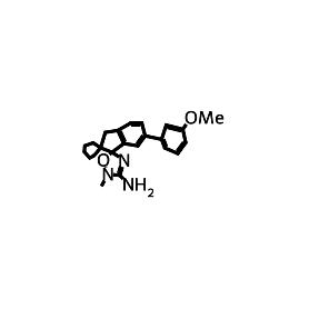 COc1cccc(-c2ccc3c(c2)C2(N=C(N)N(C)O2)C2(CCCCC2)C3)c1